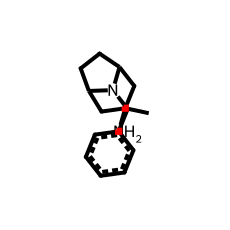 CC1(N)CC2CCC(C1)N2Cc1ccccc1